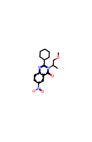 COCC(C)n1c(C2CCCCC2)nc2ccc([N+](=O)[O-])cc2c1=O